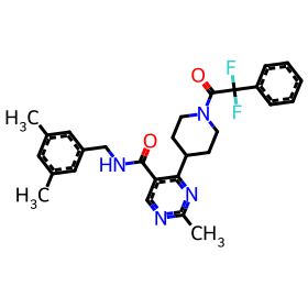 Cc1cc(C)cc(CNC(=O)c2cnc(C)nc2C2CCN(C(=O)C(F)(F)c3ccccc3)CC2)c1